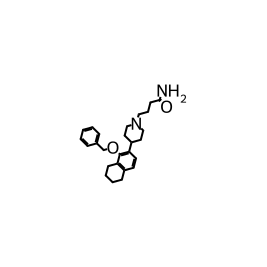 NC(=O)CCCN1CCC(c2ccc3c(c2OCc2ccccc2)CCCC3)CC1